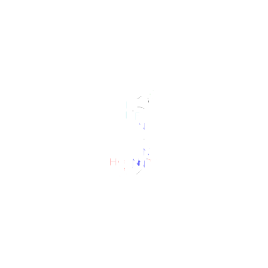 O=C(O)c1ccn(C(=O)N2CCC3(CCN(CCc4cc(Cl)ccc4C(F)(F)F)CC3)CC2)n1